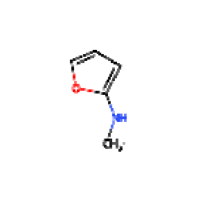 [CH2]Nc1ccco1